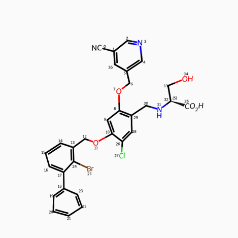 N#Cc1cncc(COc2cc(OCc3cccc(-c4ccccc4)c3Br)c(Cl)cc2CN[C@@H](CO)C(=O)O)c1